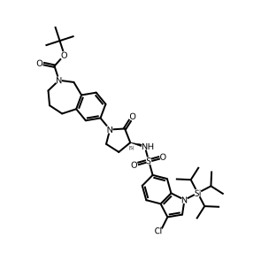 CC(C)[Si](C(C)C)(C(C)C)n1cc(Cl)c2ccc(S(=O)(=O)N[C@H]3CCN(c4ccc5c(c4)CCCN(C(=O)OC(C)(C)C)C5)C3=O)cc21